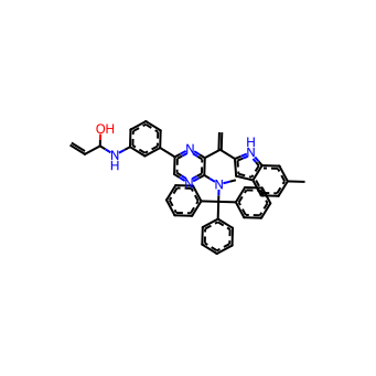 C=CC(O)Nc1cccc(-c2cnc(N(C)C(c3ccccc3)(c3ccccc3)c3ccccc3)c(C(=C)c3cc4ccc(C)cc4[nH]3)n2)c1